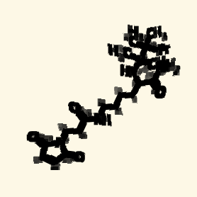 CC(C)C(C)(C)[Si](C)(C)NC(CCCCNC(=O)CCN1C(=O)C=CC1=O)C(N)=O